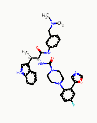 C[C@@H](c1c[nH]c2ccccc12)[C@@H](NC(=O)N1CCN(c2ccc(F)cc2-c2cnco2)CC1)C(=O)Nc1cccc(CN(C)C)c1